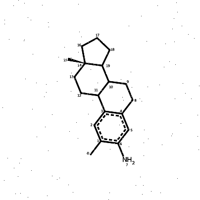 Cc1cc2c(cc1N)CCC1C2CC[C@]2(C)CCCC12